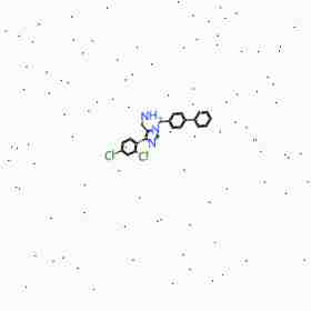 NCc1c(-c2ccc(Cl)cc2Cl)ncn1Cc1ccc(-c2ccccc2)cc1